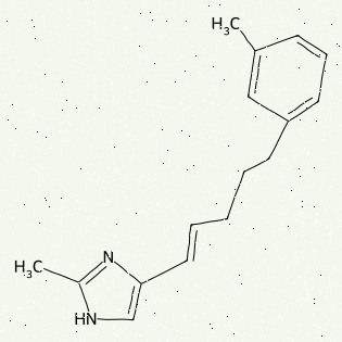 Cc1cccc(CCCC=Cc2c[nH]c(C)n2)c1